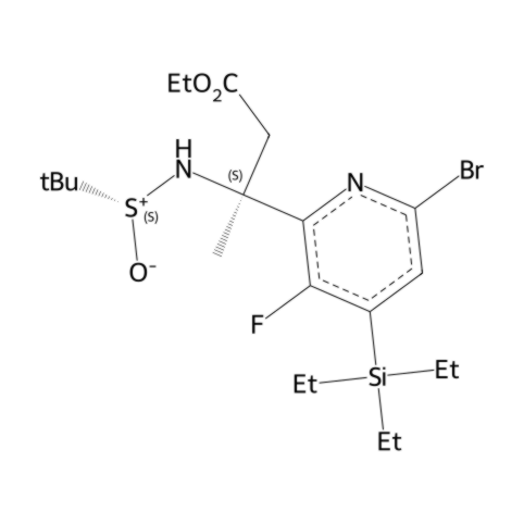 CCOC(=O)C[C@](C)(N[S@+]([O-])C(C)(C)C)c1nc(Br)cc([Si](CC)(CC)CC)c1F